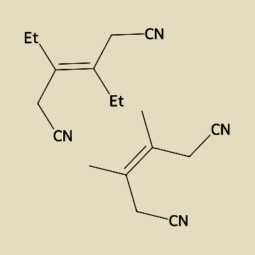 CC(CC#N)=C(C)CC#N.CCC(CC#N)=C(CC)CC#N